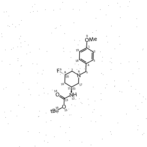 COc1ccc(CN2C[C@@H](F)C[C@H](NC(=O)OC(C)(C)C)C2)cc1